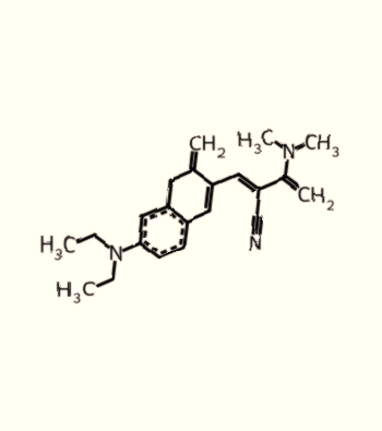 C=C1Cc2cc(N(CC)CC)ccc2C=C1/C=C(\C#N)C(=C)N(C)C